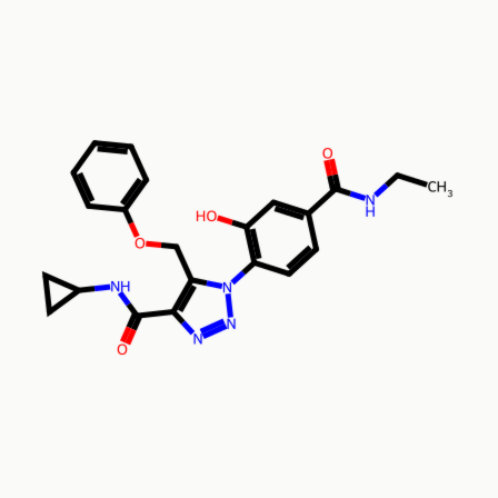 CCNC(=O)c1ccc(-n2nnc(C(=O)NC3CC3)c2COc2ccccc2)c(O)c1